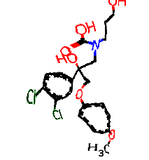 COc1ccc(OCC(O)(CN(CCCO)C(=O)O)c2ccc(Cl)c(Cl)c2)cc1